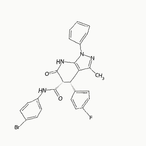 Cc1nn(-c2ccccc2)c2c1[C@H](c1ccc(F)cc1)[C@H](C(=O)Nc1ccc(Br)cc1)C(=O)N2